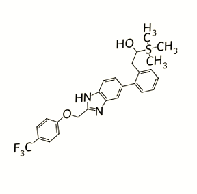 CS(C)(C)C(O)Cc1ccccc1-c1ccc2[nH]c(COc3ccc(C(F)(F)F)cc3)nc2c1